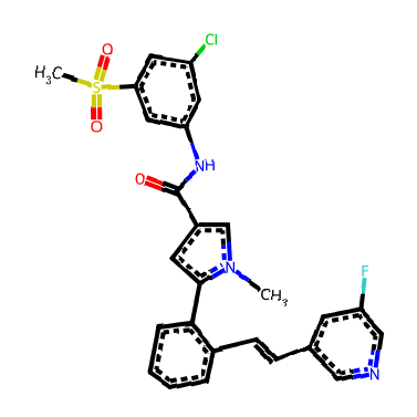 Cn1cc(C(=O)Nc2cc(Cl)cc(S(C)(=O)=O)c2)cc1-c1ccccc1/C=C/c1cncc(F)c1